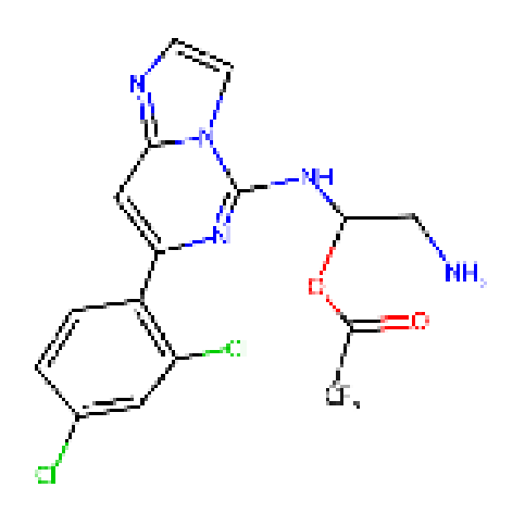 NCC(Nc1nc(-c2ccc(Cl)cc2Cl)cc2nccn12)OC(=O)C(F)(F)F